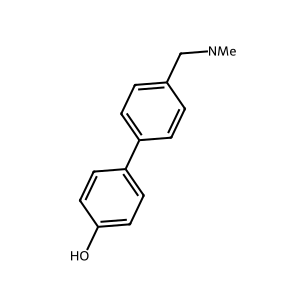 CNCc1ccc(-c2ccc(O)cc2)cc1